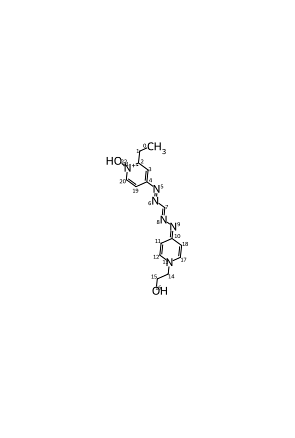 CCc1cc(N=NC=NN=c2ccn(CCO)cc2)cc[n+]1O